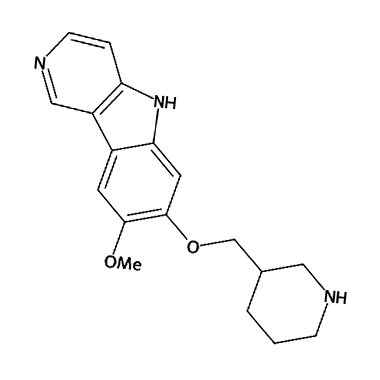 COc1cc2c(cc1OCC1CCCNC1)[nH]c1ccncc12